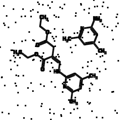 CCOC(=O)CC(=CNc1cc(C)cc(C)n1)C(=O)OCC.Cc1cc(C)nc(N)c1